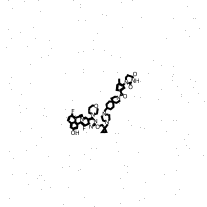 C#Cc1c(F)ccc2cc(O)cc(-c3ncc4c(N5CCCOCC5)nc(OCC5(CN6CCN(CC7CCC8(CC7)CCN(C(=O)c7ccc(C)c(N9CCC(=O)NC9=O)c7)CC8)CC6)CC5)nc4c3F)c12